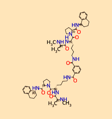 CN[C@@H](C)C(=O)N[C@@H](CCCCNC(=O)c1cccc(C(=O)NCCCC[C@H](NC(=O)[C@@H](C)NC)C(=O)N2CCC[C@H]2C(=O)N[C@@H]2CCCc3ccccc32)c1)C(=O)N1CCC[C@H]1C(=O)N[C@@H]1CCCc2ccccc21